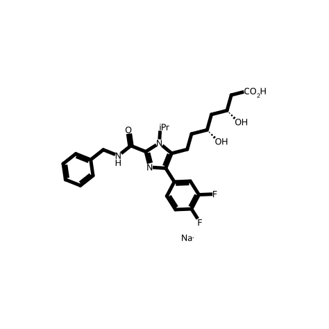 CC(C)n1c(C(=O)NCc2ccccc2)nc(-c2ccc(F)c(F)c2)c1CC[C@@H](O)C[C@@H](O)CC(=O)O.[Na]